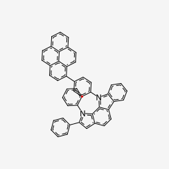 c1ccc(-c2cc3ccc4c5ccccc5n(-c5ccc(-c6ccc7ccc8cccc9ccc6c7c89)cc5)c4c3n2-c2ccccc2)cc1